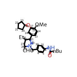 CCCCC(=O)Nc1ccc(CN2N=C(c3ccc(OC)c(OC4CCCC4)c3)C(CC)CC2C=O)cc1